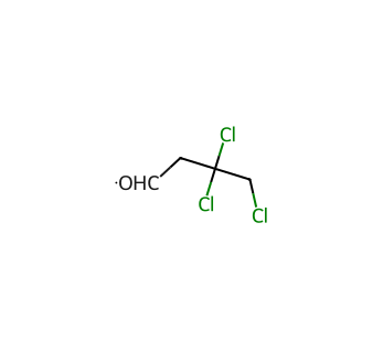 O=[C]CC(Cl)(Cl)CCl